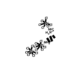 C=C.C=C.C=C.[Cl][Rh-]([Cl])([Cl])([Cl])([Cl])[Cl].[Cl][Rh-]([Cl])([Cl])([Cl])([Cl])[Cl].[Cl][Rh-]([Cl])([Cl])([Cl])([Cl])[Cl].[NH4+].[NH4+].[NH4+]